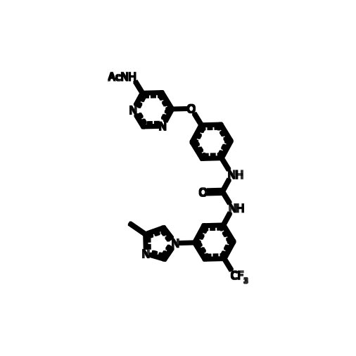 CC(=O)Nc1cc(Oc2ccc(NC(=O)Nc3cc(-n4cnc(C)c4)cc(C(F)(F)F)c3)cc2)ncn1